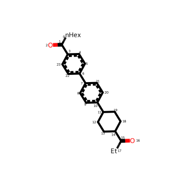 CCCCCCC(=O)c1ccc(-c2ccc(C3CCC(C(=O)CC)CC3)cc2)cc1